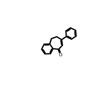 O=C1C=C(c2ccccc2)CCc2ccccc21